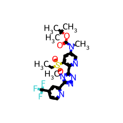 CCS(=O)(=O)c1cc(N(C)C(=O)OC(C)(C)C)cnc1-c1nnc(-c2cc(C(F)(F)F)ccn2)n1C